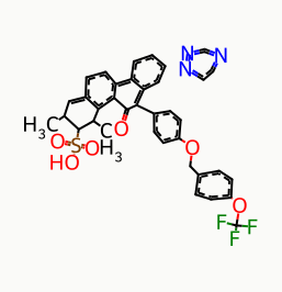 CC1C=c2ccc3c(c2C(C)C1S(=O)(=O)O)C(=O)C(c1ccc(OCc2ccc(OC(F)(F)F)cc2)cc1)=c1ccccc1=3.c1cnncn1